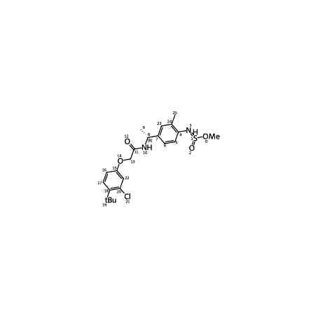 CO[SH](=O)=Nc1ccc([C@@H](C)NC(=O)COc2ccc(C(C)(C)C)c(Cl)c2)cc1C